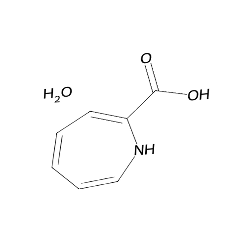 O.O=C(O)C1=CC=CC=CN1